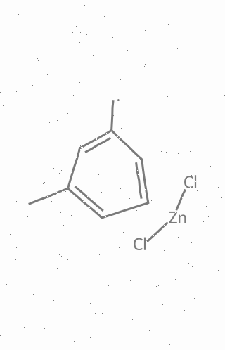 [CH2]c1cccc(C)c1.[Cl][Zn][Cl]